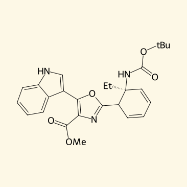 CC[C@]1(NC(=O)OC(C)(C)C)C=CC=CC1c1nc(C(=O)OC)c(-c2c[nH]c3ccccc23)o1